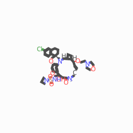 CN1CC/C=C/[C@H](OCCN2CCOCC2)[C@@H]2CC[C@H]2CN2C[C@@]3(CCCc4cc(Cl)ccc43)COc3ccc(cc32)[C@@](O)(C(=O)NS(=O)(=O)N2CCC2)CC1=O